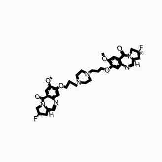 COc1cc2c(cc1OCCCN1CCN(CCCOc3cc4c(cc3OC)C(=O)N3C[C@H](F)C[C@H]3C=N4)CC1)N=C[C@@H]1C[C@@H](F)CN1C2=O